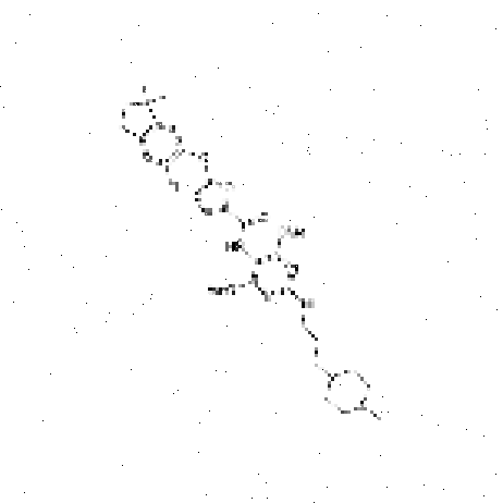 COc1nc(NCCCN2CCN(C)CC2)nc(OC)c1NC(=O)c1ccc(Oc2cc3c(cc2Cl)CCC3(C)C)o1